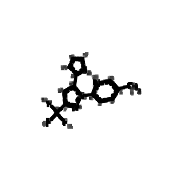 Cc1ccc(-n2nc(C(F)(F)F)cc2-c2cccs2)nc1